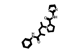 CC(CC(C)N1CCCC1C(=O)Nc1nccs1)C(=O)Nc1ccccc1